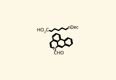 CCCCCCCCCCCCCCCC(=O)O.O=CN1C=Cc2cccc3c2c1cc1ccccc13